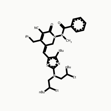 CCCCC(CC)CN(CC(CC)CCCC)c1nc(C(C)(C)C)c(/C=C2\CN(N(C)C(=O)c3ccccc3)C(=O)C(C#N)=C2CC(C)C)s1